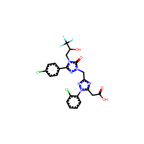 O=C(O)Cc1nc(Cn2nc(-c3ccc(Cl)cc3)n(CC(O)C(F)(F)F)c2=O)nn1-c1ccccc1Cl